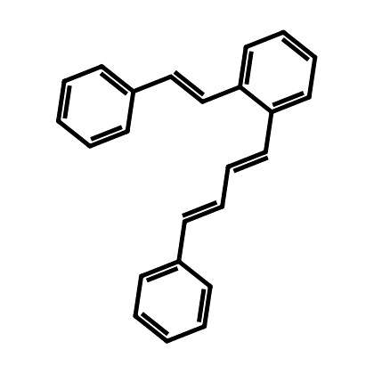 C(C=Cc1ccccc1C=Cc1ccccc1)=Cc1ccccc1